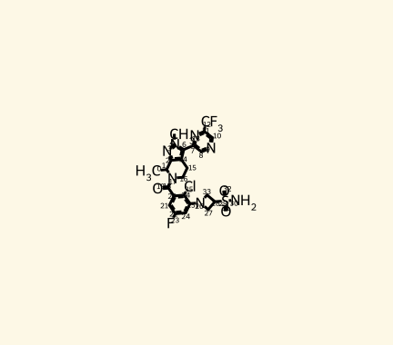 CC1c2nn(C)c(-c3cncc(C(F)(F)F)n3)c2CCN1C(=O)c1cc(F)cc(N2CC(S(N)(=O)=O)C2)c1Cl